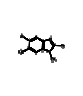 CCc1nc2cc(Br)c(C(F)(F)F)cc2n1C